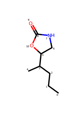 CCCC(C)C1CNC(=O)O1